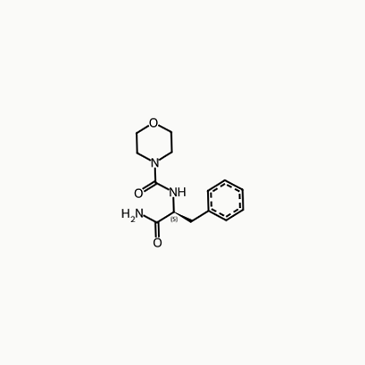 NC(=O)[C@H](Cc1ccccc1)NC(=O)N1CCOCC1